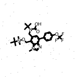 Cn1cnc2c(-c3ccc(OC(F)(F)F)cc3)cc(CN(C(=O)O)C(C)(C)C)c(CO[Si](C)(C)C(C)(C)C)c21